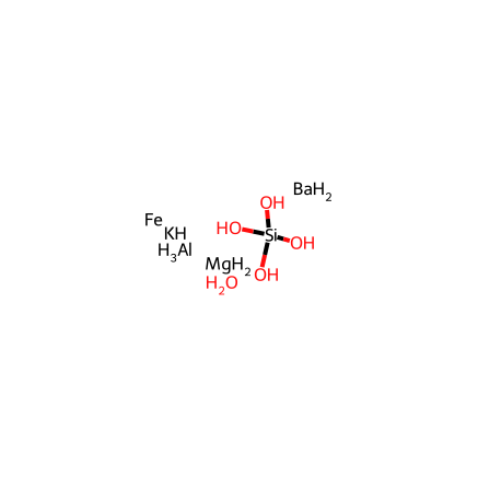 O.O[Si](O)(O)O.[AlH3].[BaH2].[Fe].[KH].[MgH2]